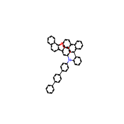 c1ccc(-c2ccc(-c3ccc(N(c4ccc5oc6c7ccccc7ccc6c5c4)c4ccccc4-c4cc5ccccc5c5ccccc45)cc3)cc2)cc1